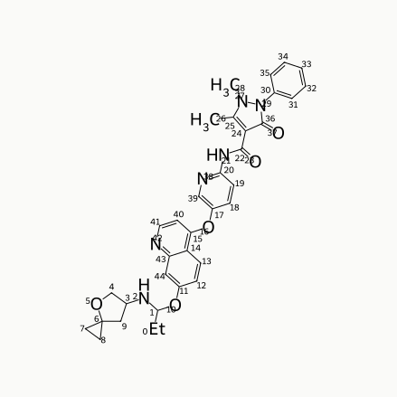 CCC(NC1COC2(CC2)C1)Oc1ccc2c(Oc3ccc(NC(=O)c4c(C)n(C)n(-c5ccccc5)c4=O)nc3)ccnc2c1